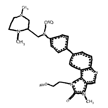 COCCn1c(=O)n(C)c2cnc3ccc(-c4ccc(N(C=O)CC5CN(C)CCN5C)cc4)cc3c21